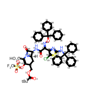 CC(C)(C)C(=O)OCC1C[C@@H]2[C@H](NC(=O)C(=NOC(c3ccccc3)(c3ccccc3)c3ccccc3)c3nc(NC(c4ccccc4)(c4ccccc4)c4ccccc4)sc3Cl)C(=O)N2C(C(=O)O)=C1OS(=O)(=O)C(F)(F)F